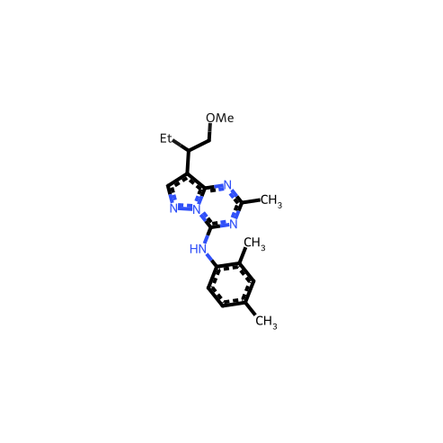 CCC(COC)c1cnn2c(Nc3ccc(C)cc3C)nc(C)nc12